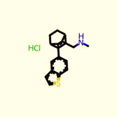 CNCC1=C(c2ccc3sccc3c2)C2CCC1CC2.Cl